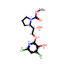 CC(C)(C)OC(=O)N1CCC[C@@H]1[C@H](O)COc1nc(Cl)cc(Br)c1O